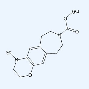 CCN1CCOc2cc3c(cc21)CCN(C(=O)OC(C)(C)C)CC3